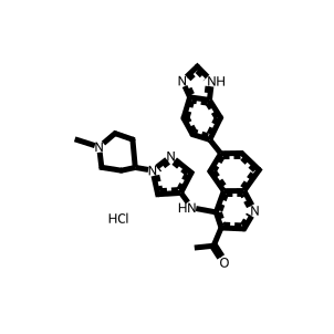 CC(=O)c1cnc2ccc(-c3ccc4nc[nH]c4c3)cc2c1Nc1cnn(C2CCN(C)CC2)c1.Cl